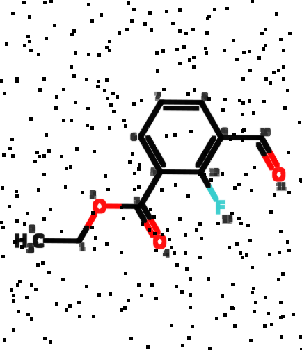 CCOC(=O)c1cccc(C=O)c1F